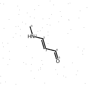 CN/C=C/C=O